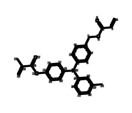 C=CC(=O)OCc1ccc(N(c2ccc(OC(=O)C(=C)C)cc2)c2cccc(C)c2)cc1